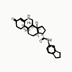 C[C@]12CC[C@H]3[C@@H](CNC4=CC(=O)CC[C@@]43C)[C@@H]1CC[C@@H]2C(=O)Nc1ccc2c(c1)CCC2